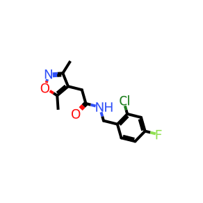 Cc1noc(C)c1CC(=O)NCc1ccc(F)cc1Cl